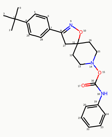 CC(C)(C)c1ccc(C2=NOC3(CCN(OC(=O)Nc4ccccc4)CC3)C2)cc1